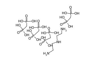 NCCNCCN.O=P(O)(O)CP(=O)(O)O.O=P(O)(O)CP(=O)(O)O.O=P(O)(O)CP(=O)(O)O.O=P(O)(O)CP(=O)(O)O